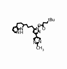 Cc1ncc(-c2cc(CCCC3CCc4cccnc4N3)n(OC(=O)CCC(C)(C)C)n2)cn1